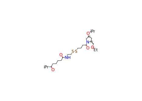 CCOC[C@@H]1C[C@@H](OC(C)C)CN1C(=O)CCCSSCCNC(=O)CCCCC(=O)C(C)C